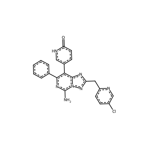 Nc1nc(-c2ccccc2)c(-c2ccc(=O)[nH]c2)c2nc(Cc3ccc(Cl)cn3)nn12